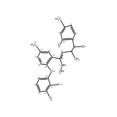 Cc1ccc(C(Cl)C(C)N=C(NO)c2cc(C)nnc2Oc2cccc(Cl)c2F)c(Cl)c1